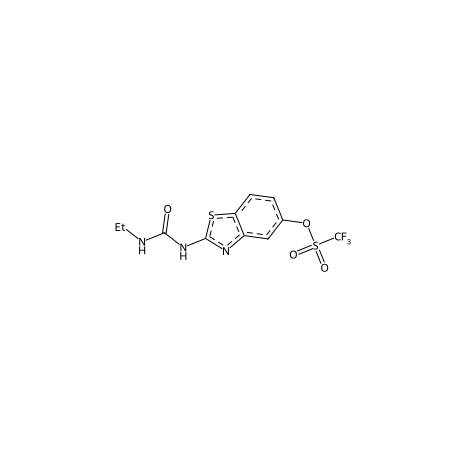 CCNC(=O)Nc1nc2cc(OS(=O)(=O)C(F)(F)F)ccc2s1